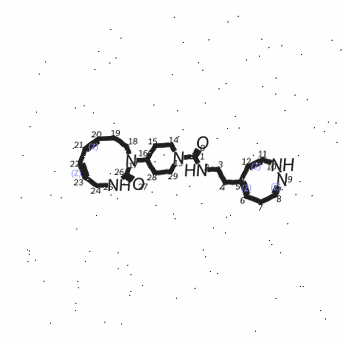 O=C(NCCC1=C/C/C=N\N/C=C\1)N1CCC(N2CC/C=C\C=C/CNC2=O)CC1